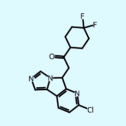 O=C(CC1c2nc(Cl)ccc2-c2cncn21)C1CCC(F)(F)CC1